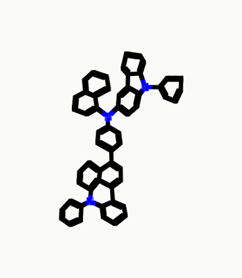 c1ccc(N2c3ccccc3-c3ccc(-c4ccc(N(c5ccc6c(c5)c5ccccc5n6-c5ccccc5)c5cccc6ccccc56)cc4)c4cccc2c34)cc1